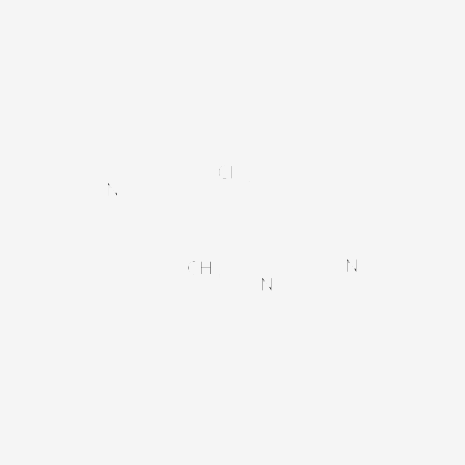 CC(C)(C#N)c1c[c]ncn1